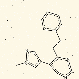 Cn1cc(-c2cn[c]nc2CCc2ccccc2)cn1